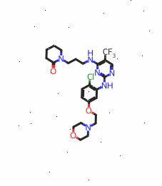 O=C1CCCCN1CCCNc1nc(Nc2cc(OCCN3CCOCC3)ccc2Cl)ncc1C(F)(F)F